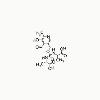 Cc1ncc(COP(=O)(NC(C)C(=O)O)NC(C)C(=O)O)c(C=O)c1O